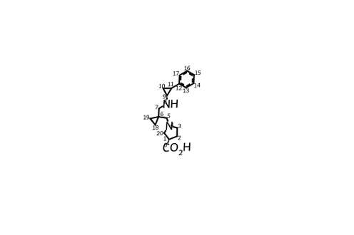 O=C(O)[C@@H]1CCN(CC2(CN[C@H]3CC3c3ccccc3)CC2)C1